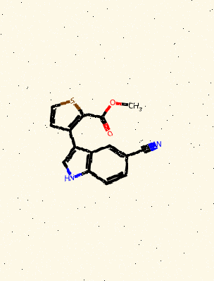 COC(=O)c1sccc1-c1c[nH]c2ccc(C#N)cc12